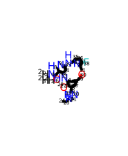 [2H]C([2H])([2H])NC(=O)c1cnc2cc1Nc1cc(cc(-c3ncn(CC)n3)c1OC)COCc1nc(ccc1F)N2